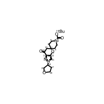 CC(C)(C)OC(=O)N1CCC2(CC1)CC(=O)c1nn(C3CCOC3)cc1O2